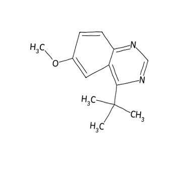 COc1ccc2ncnc(C(C)(C)C)c2c1